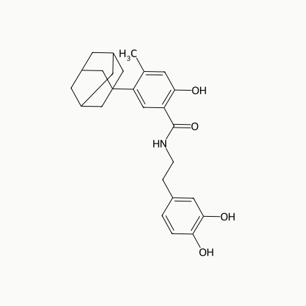 Cc1cc(O)c(C(=O)NCCc2ccc(O)c(O)c2)cc1C12CC3CC(CC(C3)C1)C2